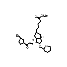 CCC1CCC(C(=O)C=C[C@@H]2[C@H]3CC(=CCCCC(=O)OC)C[C@@H]3C[C@H]2OC2CCCCO2)C1